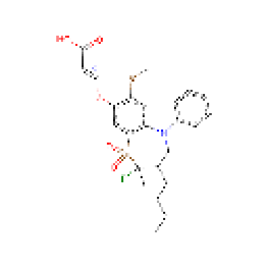 CCCCC1CN(c2ccccc2)c2cc(SC)c(O/C=C/C(=O)O)cc2S(=O)(=O)C1(C)F